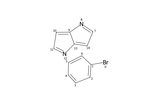 Brc1ccccc1.C1=NC2=CC=NC2=C1